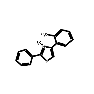 Cc1ccccc1-c1csc(-c2ccccc2)[n+]1C